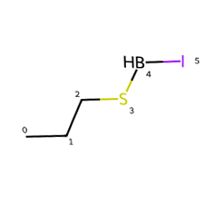 CCCSBI